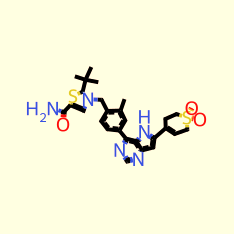 Cc1cc(-c2ncnc3cc(C4=CCS(=O)(=O)CC4)[nH]c23)ccc1CN1C=C(C(N)=O)SC1C(C)(C)C